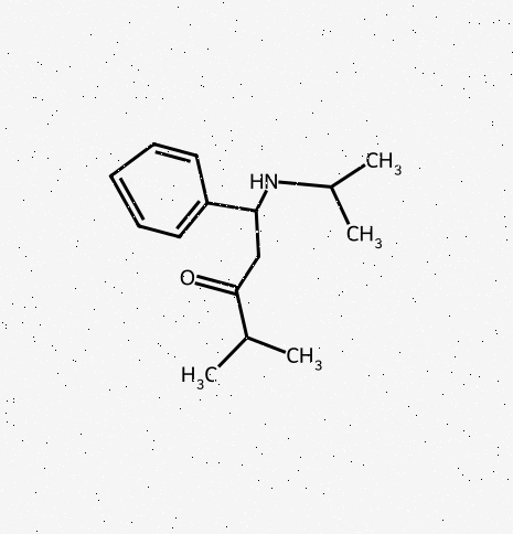 CC(C)NC(CC(=O)C(C)C)c1ccccc1